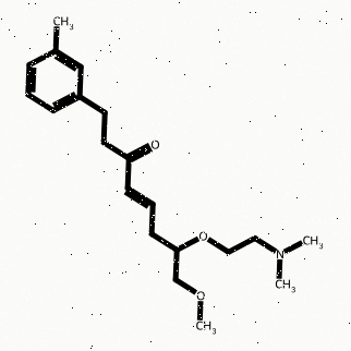 COCC(C/C=C/C(=O)CCc1cccc(C)c1)OCCN(C)C